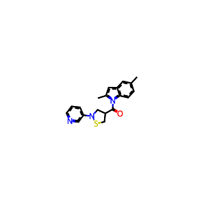 Cc1ccc2c(c1)cc(C)n2C(=O)C1CSN(c2cccnc2)C1